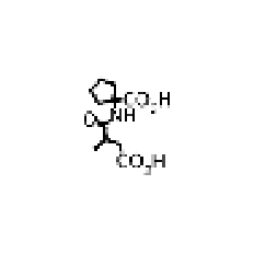 CC(CC(=O)O)C(=O)NC1(C(=O)O)CCCC1